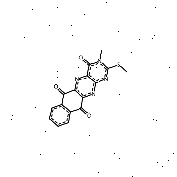 CSc1nc2nc3c(nc2c(=O)n1C)C(=O)c1ccccc1C3=O